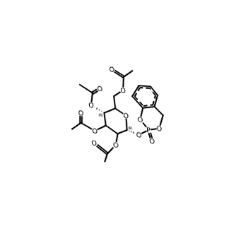 CC(=O)OCC1O[C@H](OP2(=O)OCc3ccccc3O2)C(OC(C)=O)C(OC(C)=O)[C@@H]1OC(C)=O